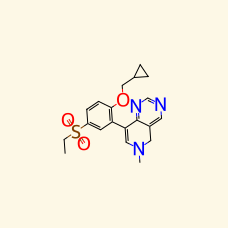 CCS(=O)(=O)c1ccc(OCC2CC2)c(C2=CN(C)Cc3cncnc32)c1